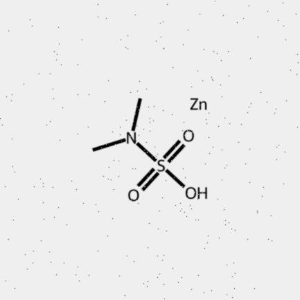 CN(C)S(=O)(=O)O.[Zn]